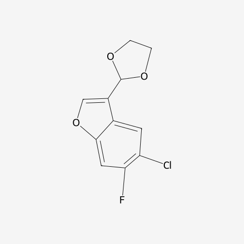 Fc1cc2occ(C3OCCO3)c2cc1Cl